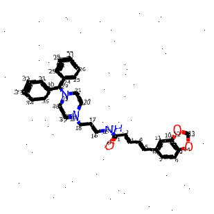 O=C(C=CC=Cc1ccc2c(c1)OCO2)NCCCN1CCN(C(c2ccccc2)c2ccccc2)CC1